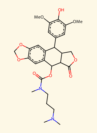 COc1cc(C2c3cc4c(cc3C(OC(=O)N(C)CCCN(C)C)C3C(=O)OCC23)OCO4)cc(OC)c1O